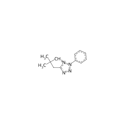 CC(C)(C)Cc1nnn(-c2ccccc2)n1